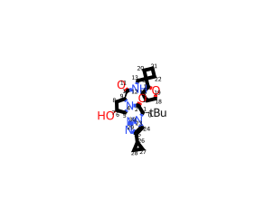 CC(C)(C)[C@@H](C(=O)N1C[C@H](O)C[C@H]1C(=O)NCC1(C2CCCO2)CCC1)n1cc(C2CC2)nn1